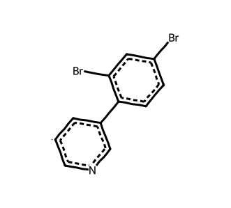 Brc1ccc(-c2c[c]cnc2)c(Br)c1